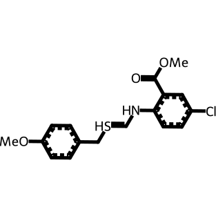 COC(=O)c1cc(Cl)ccc1NC=[SH]Cc1ccc(OC)cc1